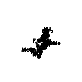 COc1ccc2c3c(cnc2n1)C(=O)CCN3Cc1c(F)cc(S(=O)(=O)N[n+]2cc3c(c4ccc(OC)nc42)N(Cc2c(F)cc(S(N)(=O)=O)cc2F)C(=O)CN3CC(F)(F)F)cc1F